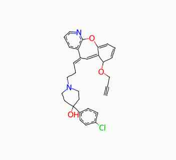 C#CCOC1C=CC=C2Oc3ncccc3C(=CCCN3CCC(O)(c4ccc(Cl)cc4)CC3)C=C21